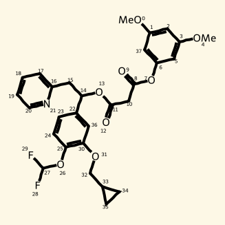 COc1cc(OC)cc(OC(=O)CC(=O)OC(Cc2ccccn2)c2ccc(OC(F)F)c(OCC3CC3)c2)c1